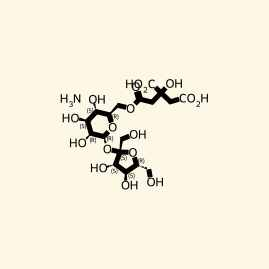 N.O=C(O)CC(O)(CC(=O)OC[C@H]1O[C@H](O[C@]2(CO)O[C@H](CO)[C@@H](O)[C@@H]2O)[C@H](O)[C@@H](O)[C@@H]1O)C(=O)O